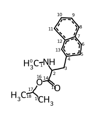 CNC(Cc1ccc2ccccc2c1)C(=O)OC(C)C